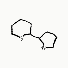 C1CCC(C2CCC[N]2)SC1